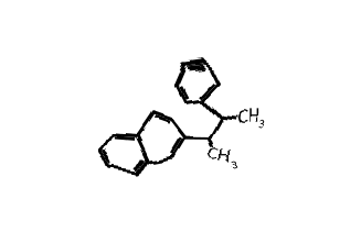 C[C](c1ccccc1)C(C)c1ccc2ccccc2c1